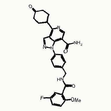 COc1ccc(F)cc1C(=O)NCc1ccc(-n2ncc3c(C4CCC(=O)CC4)ncc(C(N)=O)c32)cc1